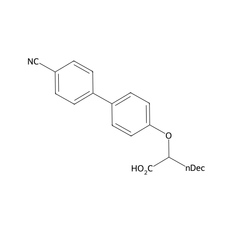 CCCCCCCCCCC(Oc1ccc(-c2ccc(C#N)cc2)cc1)C(=O)O